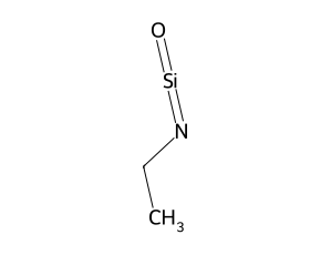 CCN=[Si]=O